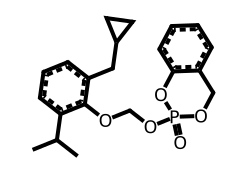 CC(C)c1cccc(CC2CC2)c1OCOP1(=O)OCc2ccccc2O1